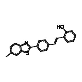 Cc1ccc2nc(-c3ccc(/C=C/c4ccccc4O)cc3)sc2c1